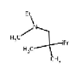 CCN(C)CC(C)(C)C(C)C